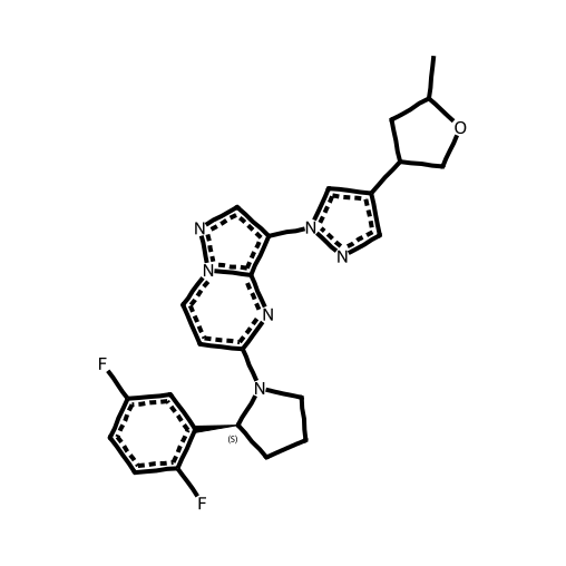 CC1CC(c2cnn(-c3cnn4ccc(N5CCC[C@H]5c5cc(F)ccc5F)nc34)c2)CO1